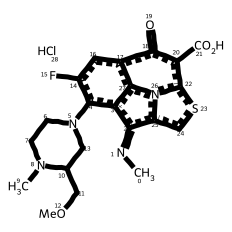 CN=c1c2c(N3CCN(C)C(COC)C3)c(F)cc3c(=O)c(C(=O)O)c4scc1n4c32.Cl